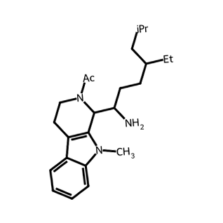 CCC(CCC(N)C1c2c(c3ccccc3n2C)CCN1C(C)=O)CC(C)C